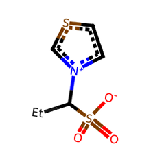 CCC([n+]1ccsc1)S(=O)(=O)[O-]